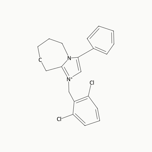 Clc1cccc(Cl)c1C[n+]1cc(-c2ccccc2)n2c1CCCCC2